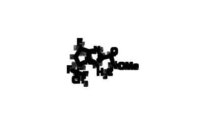 CON(C)C(=O)c1nc2n(n1)[C@H](C(C)(F)F)C[C@@H]2F